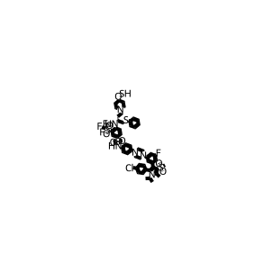 Cc1c(S(C)(=O)=O)c(-c2cc(F)cc(N3CCN(c4ccc(NS(=O)(=O)c5ccc(N[C@H](CCN6CCC(OS)CC6)CSc6ccccc6)c(S(=O)(=O)C(F)(F)F)c5)cc4)CC3)c2)c(-c2ccc(Cl)cc2)n1C(C)C